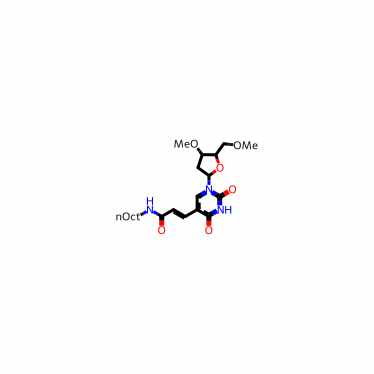 CCCCCCCCNC(=O)/C=C/c1cn(C2CC(OC)C(COC)O2)c(=O)[nH]c1=O